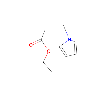 CCOC(C)=O.Cn1cccc1